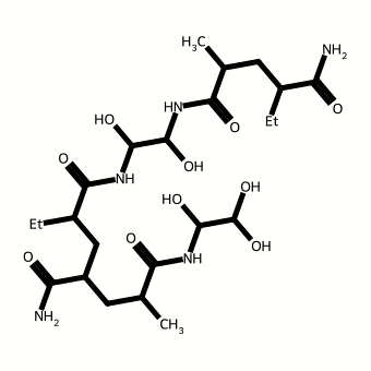 CCC(CC(C)C(=O)NC(O)C(O)NC(=O)C(CC)CC(CC(C)C(=O)NC(O)C(O)O)C(N)=O)C(N)=O